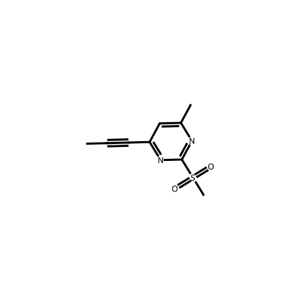 CC#Cc1cc(C)nc(S(C)(=O)=O)n1